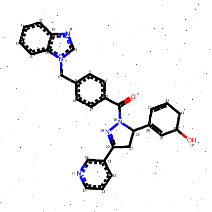 O=C(c1ccc(Cn2cnc3ccccc32)cc1)N1N=C(c2cccnc2)CC1C1=CC(O)CC=C1